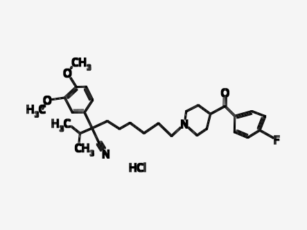 COc1ccc(C(C#N)(CCCCCCN2CCC(C(=O)c3ccc(F)cc3)CC2)C(C)C)cc1OC.Cl